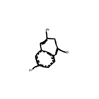 CC(C)[C]1CC(C(C)C)=Cc2cc(C(C)C)ccc21